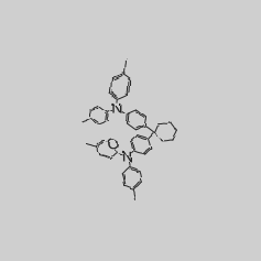 CC1=COC(N(c2ccc(C)cc2)c2ccc(C3(c4ccc(N(c5ccc(C)cc5)c5ccc(C)cc5)cc4)CCCCC3)cc2)C=C1